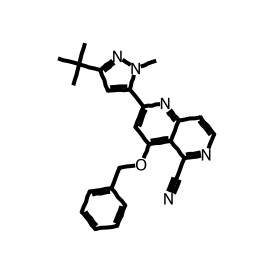 Cn1nc(C(C)(C)C)cc1-c1cc(OCc2ccccc2)c2c(C#N)nccc2n1